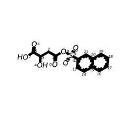 O=C(CC(O)C(=O)O)OS(=O)(=O)c1ccc2ccccc2c1